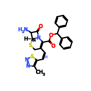 Cc1nnsc1/C=C\C1=C(C(=O)OC(c2ccccc2)c2ccccc2)N2C(=O)C(N)[C@@H]2SC1